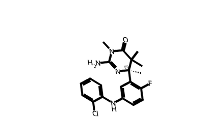 CN1C(=O)C(C)(C)[C@@](C)(c2cc(Nc3ccccc3Cl)ccc2F)N=C1N